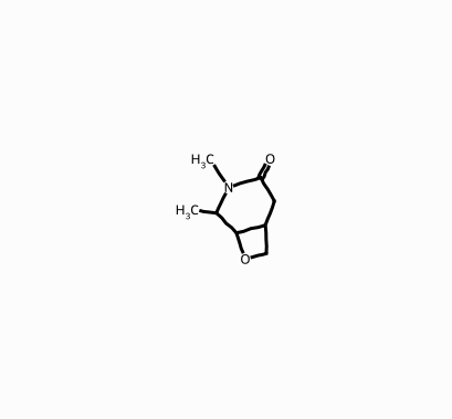 CC1C2OCC2CC(=O)N1C